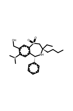 CCCC[C@]1(CC)CS(=O)(=O)c2cc(CO)c(N(C)C)cc2[C@@H](c2ccccc2)N1